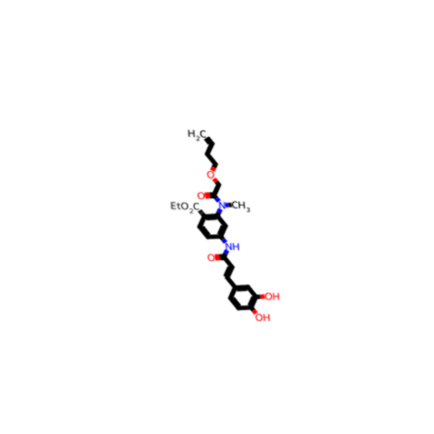 C=CCCOCC(=O)N(C)c1cc(NC(=O)/C=C/c2ccc(O)c(O)c2)ccc1C(=O)OCC